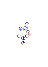 c1ccc(-c2cc(-c3ccccn3)nc(-c3ccc4oc5ccc(-c6nc(-c7ccccc7)cc(-c7ccccn7)n6)cc5c4c3)n2)cc1